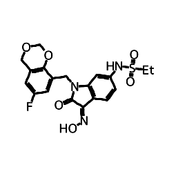 CCS(=O)(=O)Nc1ccc2c(c1)N(Cc1cc(F)cc3c1OCOC3)C(=O)/C2=N\O